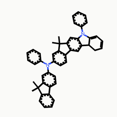 CC1(C)c2ccccc2-c2ccc(N(c3ccccc3)c3ccc4c(c3)C(C)(C)c3cc5c(cc3-4)C3CC=CC=C3N5c3ccccc3)cc21